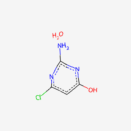 Nc1nc(O)cc(Cl)n1.O